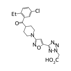 CCc1ccc(Cl)cc1C(=O)C1CCN(c2cc(-c3nnn(CC(=O)O)n3)on2)CC1